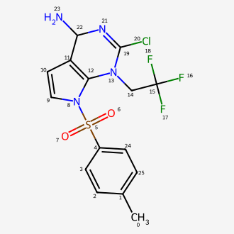 Cc1ccc(S(=O)(=O)n2ccc3c2N(CC(F)(F)F)C(Cl)=NC3N)cc1